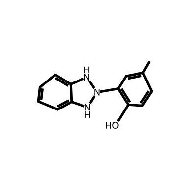 Cc1ccc(O)c(N2Nc3ccccc3N2)c1